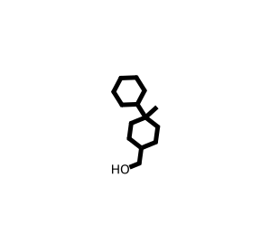 CC1(C2CCCCC2)CCC(CO)CC1